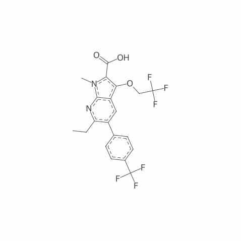 CCc1nc2c(cc1-c1ccc(C(F)(F)F)cc1)c(OCC(F)(F)F)c(C(=O)O)n2C